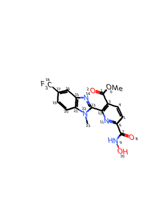 COC(=O)c1ccc(C(=O)NO)nc1-c1nc2cc(C(F)(F)F)ccc2n1C